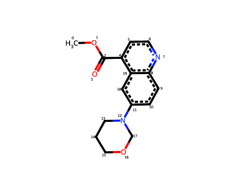 COC(=O)c1ccnc2ccc(N3CCCOC3)cc12